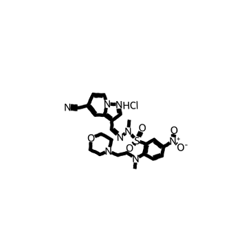 CN(CCN1CCOCC1)c1ccc([N+](=O)[O-])cc1S(=O)(=O)N(C)N=Cc1cnn2ccc(C#N)cc12.Cl